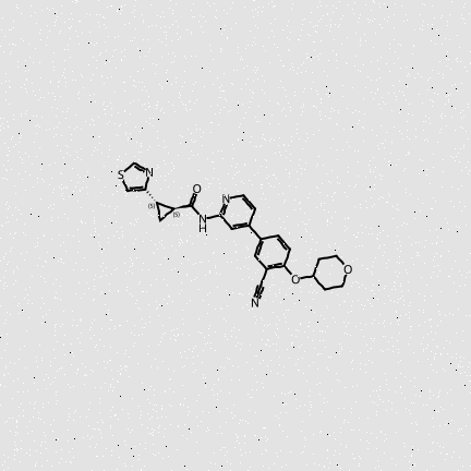 N#Cc1cc(-c2ccnc(NC(=O)[C@H]3C[C@@H]3c3cscn3)c2)ccc1OC1CCOCC1